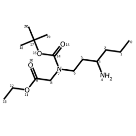 CCCC(N)CCN(CC(=O)OCC)C(=O)OC(C)(C)C